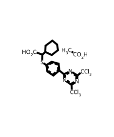 CC(=O)O.O=C(O)C(Sc1ccc(-c2nc(C(Cl)(Cl)Cl)nc(C(Cl)(Cl)Cl)n2)cc1)C1CCCCC1